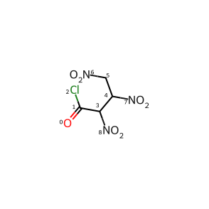 O=C(Cl)C(C(C[N+](=O)[O-])[N+](=O)[O-])[N+](=O)[O-]